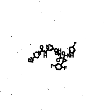 O=C(Nc1cc(OONC(=O)C2(C(=O)Nc3ccc(F)cc3)CC2c2cc(F)ccc2F)ccn1)N1CCC(N2CCC2)CC1